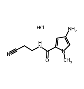 Cl.Cn1cc(N)cc1C(=O)NCCC#N